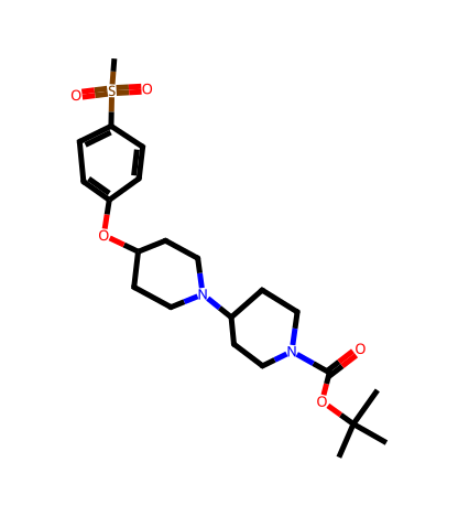 CC(C)(C)OC(=O)N1CCC(N2CCC(Oc3ccc(S(C)(=O)=O)cc3)CC2)CC1